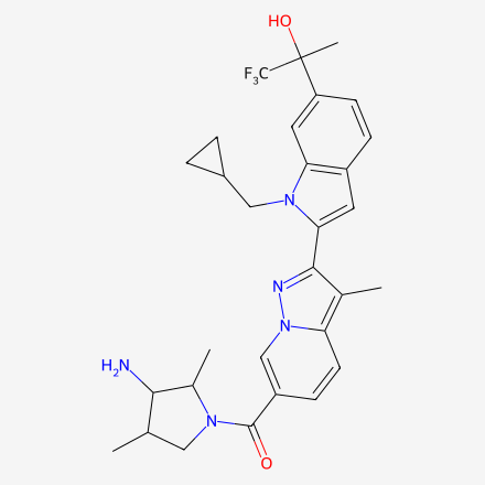 Cc1c(-c2cc3ccc(C(C)(O)C(F)(F)F)cc3n2CC2CC2)nn2cc(C(=O)N3CC(C)C(N)C3C)ccc12